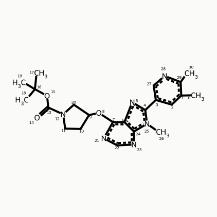 Cc1cc(-c2nc3c(OC4CCN(C(=O)OC(C)(C)C)C4)ncnc3n2C)cnc1C